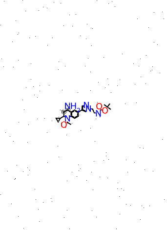 CC(=O)N1c2ccc(-c3cnn(CCN(C)C(=O)OC(C)(C)C)c3)cc2[C@H](N)[C@@H](C)C1C1CC1